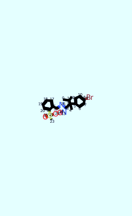 CC(C)C(C)(c1ccc(Br)cc1)c1noc(-c2ccccc2S(C)(=O)=O)n1